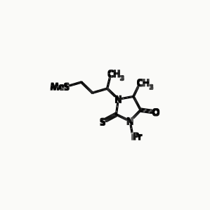 CSCCC(C)N1C(=S)N(C(C)C)C(=O)C1C